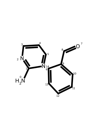 Nc1ncccn1.O=Cc1ccccc1